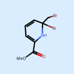 COC(=O)C1=CC=CC(Br)(CBr)N1